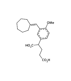 COc1ccc(C(CCC(=O)O)C(=O)O)cc1C=C1CCCCCC1